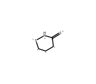 S=C1CCCSN1